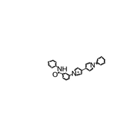 O=C(Nc1ccccc1)c1cccc(-[n+]2ccc(-c3cc[n+](-c4ccccc4)cc3)cc2)c1